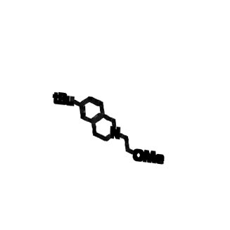 COCCN1CCc2cc(C(C)(C)C)ccc2C1